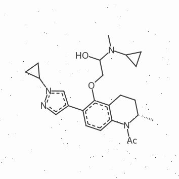 CC(=O)N1c2ccc(-c3cnn(C4CC4)c3)c(OCC(O)N(C)C3CC3)c2CC[C@@H]1C